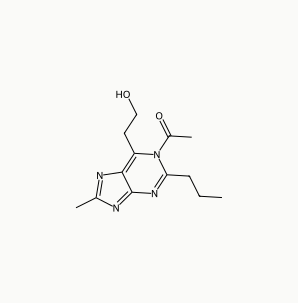 CCCc1nc2nc(C)nc-2c(CCO)n1C(C)=O